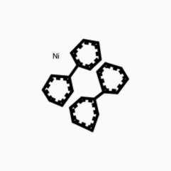 [Ni].c1ccc(-c2ccccc2)cc1.c1ccc(-c2ccccc2)cc1